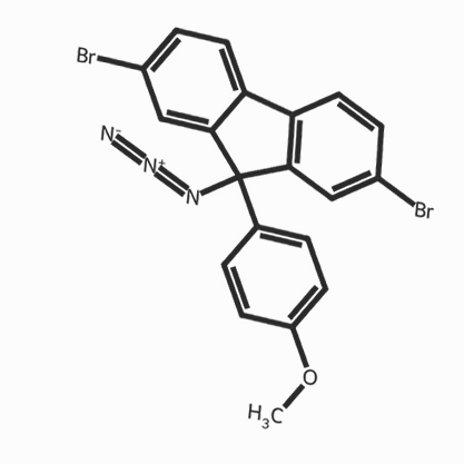 COc1ccc(C2(N=[N+]=[N-])c3cc(Br)ccc3-c3ccc(Br)cc32)cc1